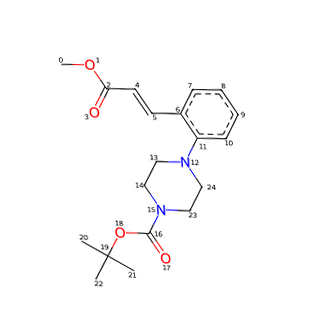 COC(=O)/C=C/c1ccccc1N1CCN(C(=O)OC(C)(C)C)CC1